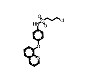 O=S(=O)(CCCCl)Nc1ccc(Oc2cccc3cccnc23)cc1